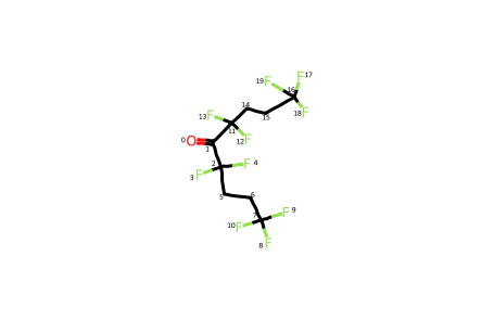 O=C(C(F)(F)CCC(F)(F)F)C(F)(F)CCC(F)(F)F